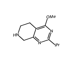 COc1nc(C(C)C)nc2c1CCNC2